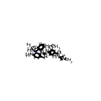 CN/C(=C1\C(=N)CCc2cnc(Nc3ccc(C(=O)NC4CN(C)C4)cc3OC)nc21)c1ccccc1C